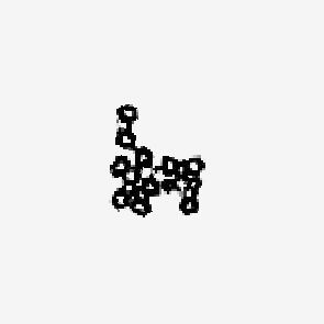 c1ccc2c(c1)-c1ccc(N(c3ccc(-c4ccc5sc6ccccc6c5c4)cc3)c3ccc4c(c3)C3(c5ccccc5-4)c4ccccc4-n4c5ccccc5c5cccc3c54)cc1C21c2ccccc2-c2c1ccc1ccccc21